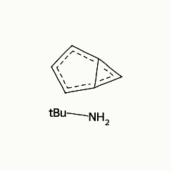 CC(C)(C)N.c1cc2cc-2c1